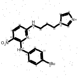 CC(C)(C)c1ccc(Nc2nc(NCCCn3ccnc3)ccc2[N+](=O)[O-])cc1